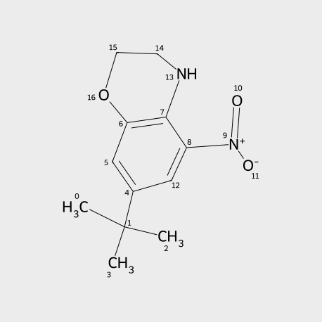 CC(C)(C)c1cc2c(c([N+](=O)[O-])c1)NCCO2